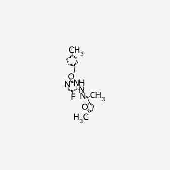 C/C(=N\Nc1nc(OCc2ccc(C)cc2)ncc1F)c1ccc(C)o1